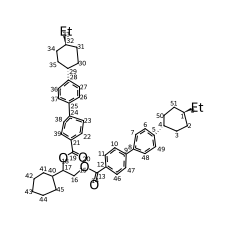 CC[C@H]1CC[C@H](c2ccc(-c3ccc(C(=O)OCC(OC(=O)c4ccc(-c5ccc([C@H]6CC[C@H](CC)CC6)cc5)cc4)C4CCCCC4)cc3)cc2)CC1